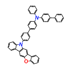 c1ccc(-c2ccc(N(c3ccccc3)c3ccc(-c4ccc(-n5c6ccccc6c6cc7oc8ccccc8c7cc65)cc4)cc3)cc2)cc1